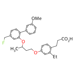 CCc1cc(OCCC(C)Oc2cc(CF)ccc2-c2cccc(OC)c2)ccc1CCC(=O)O